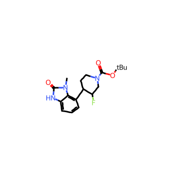 Cn1c(=O)[nH]c2cccc(C3CCN(C(=O)OC(C)(C)C)CC3F)c21